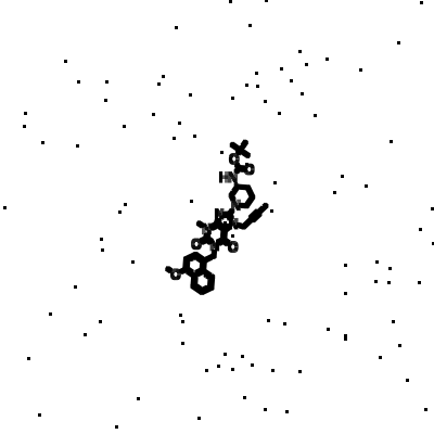 CC#CCn1c(N2CCC[C@@H](NC(=O)OC(C)(C)C)C2)nc2c1c(=O)n(Cc1ccc(OC)c3ccccc13)c(=O)n2C